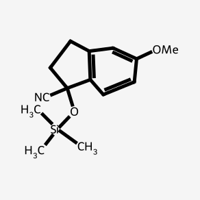 COc1ccc2c(c1)CCC2(C#N)O[Si](C)(C)C